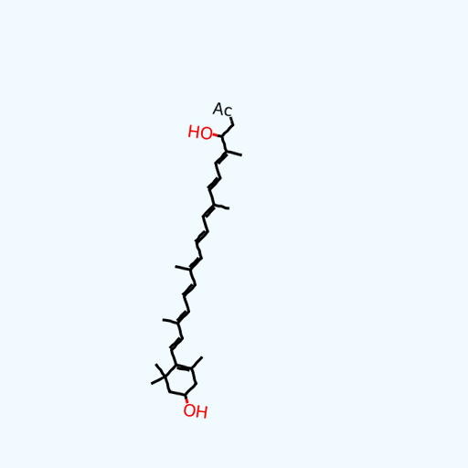 CC(=O)CC(O)/C(C)=C/C=C/C(C)=C/C=C/C=C(C)/C=C/C=C(C)/C=C/C1=C(C)CC(O)CC1(C)C